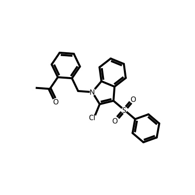 CC(=O)c1ccccc1Cn1c(Cl)c(S(=O)(=O)c2ccccc2)c2ccccc21